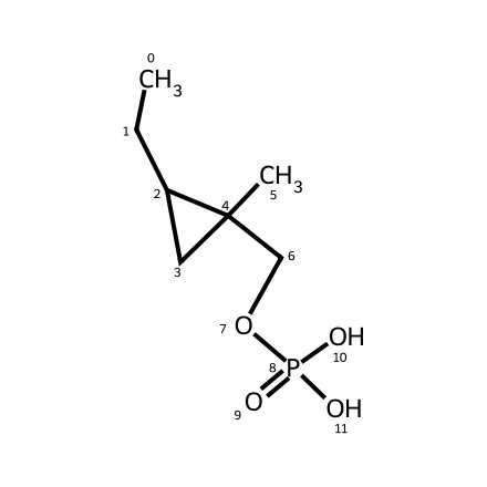 CCC1CC1(C)COP(=O)(O)O